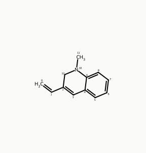 C=CC1=Cc2ccccc2N(C)C1